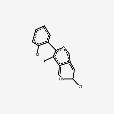 Clc1ccccc1-c1ncc2c(c1I)=CNC(Cl)C=2